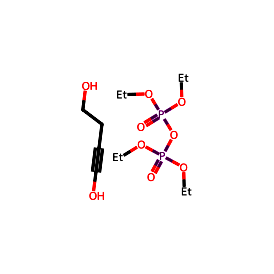 CCOP(=O)(OCC)OP(=O)(OCC)OCC.OC#CCCO